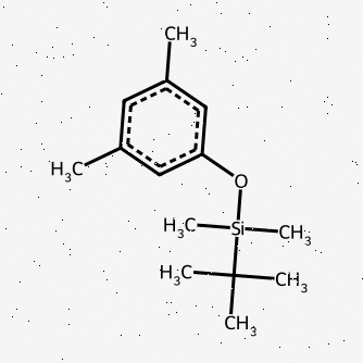 Cc1cc(C)cc(O[Si](C)(C)C(C)(C)C)c1